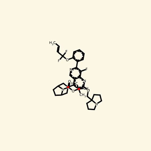 C/C=C/C(F)(F)Oc1ccccc1-c1ncc2c(N3CC4CCC(C3)N4C(=O)OC(C)(C)C)nc(OCC34CCCN3CCC4)nc2c1F